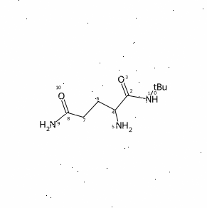 CC(C)(C)NC(=O)C(N)CCC(N)=O